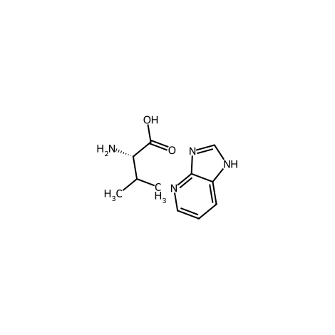 CC(C)[C@H](N)C(=O)O.c1cnc2nc[nH]c2c1